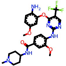 COc1ccc(N)c(Oc2nc(Nc3ccc(C(=O)NC4CCN(C)CC4)cc3OC)ncc2C(F)(F)F)c1